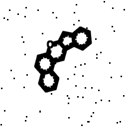 c1ccc2c3cc4c(ccc5ccccc54)oc-3cc2c1